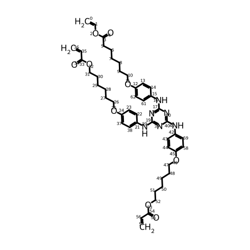 C=COC(=O)CCCCCCOc1ccc(Nc2nc(Nc3ccc(OCCCCCCOC(=O)C=C)cc3)nc(Nc3ccc(OCCCCCCOC(=O)C=C)cc3)n2)cc1